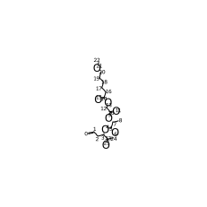 C=CCC(OC(=O)C(C)OC(=O)COC(=O)CCCCCOC)C(C)=O